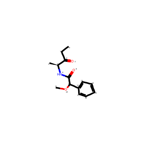 CCC(=O)[C@H](C)NC(=O)C(OC)c1ccccc1